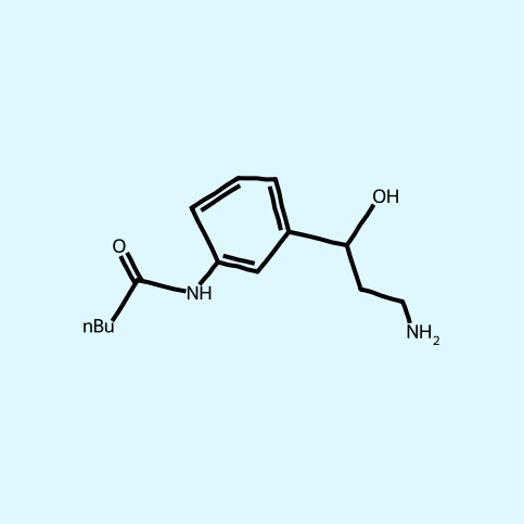 CCCCC(=O)Nc1cccc(C(O)CCN)c1